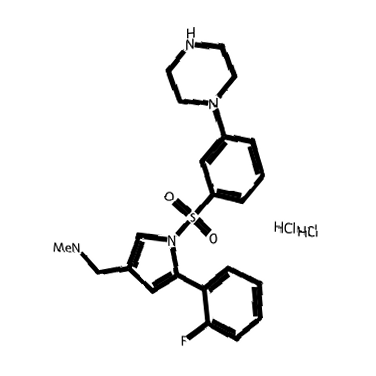 CNCc1cc(-c2ccccc2F)n(S(=O)(=O)c2cccc(N3CCNCC3)c2)c1.Cl.Cl